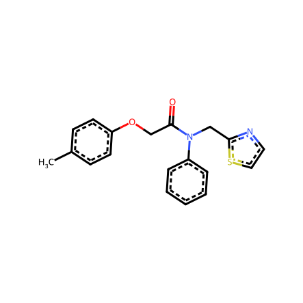 Cc1ccc(OCC(=O)N(Cc2nccs2)c2ccccc2)cc1